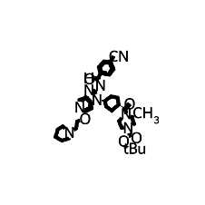 C[C@@H]1CN(C(=O)OC(C)(C)C)CCN1C(=O)[C@H]1CC[C@@H](n2/c(=N/C(=O)c3ccc(C#N)cc3)[nH]c3cnc(OCCN4CCCCC4)cc32)CC1